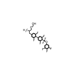 CC(COCO)Cc1cc(F)c(-c2cc(F)c(C(F)(F)Oc3cc(F)c(F)c(F)c3)c(F)c2)c(F)c1